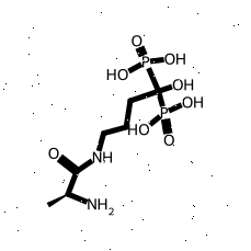 C[C@H](N)C(=O)NCCCC(O)(P(=O)(O)O)P(=O)(O)O